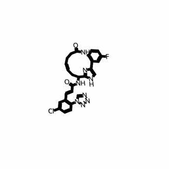 O=C(C=Cc1cc(Cl)ccc1-n1cnnn1)NC1CC=CCCC(=O)Nc2ccc(F)cc2-c2c[nH]c1n2